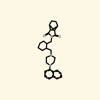 O=C1C2C3CCC(C3)C2C(=O)N1CC1CCCCC1CN1CCN(c2cccc3ccccc23)CC1